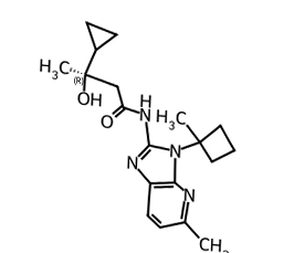 Cc1ccc2nc(NC(=O)C[C@@](C)(O)C3CC3)n(C3(C)CCC3)c2n1